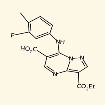 CCOC(=O)c1cnn2c(Nc3ccc(C)c(F)c3)c(C(=O)O)cnc12